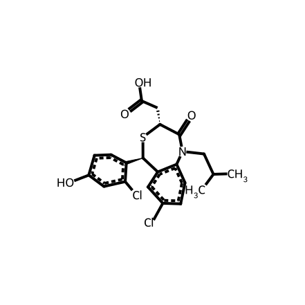 CC(C)CN1C(=O)[C@@H](CC(=O)O)S[C@H](c2ccc(O)cc2Cl)c2cc(Cl)ccc21